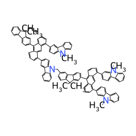 Cn1c2ccccc2c2cc(-c3cccc4c(-c5ccc6c(c5)C(C)(C)c5ccccc5-6)c5cccc(-c6ccc7c(c6)c6ccccc6n7Cc6ccc7c(c6)-c6ccc(-c8c9cccc(-c%10ccc%11c%12ccccc%12n(C)c%11c%10)c9cc9c(-c%10ccc%11c%12ccccc%12n(C)c%11c%10)cccc89)cc6C7(C)C)c5cc34)ccc21